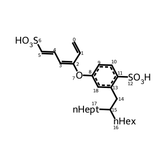 C=C/C(=C\C=C\S(=O)(=O)O)Oc1ccc(S(=O)(=O)O)c(CC(CCCCCC)CCCCCCC)c1